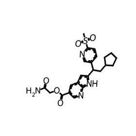 CS(=O)(=O)c1ccc(C(CC2CCCC2)c2cc3cc(C(=O)OCC(N)=O)cnc3[nH]2)cn1